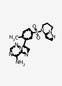 Cc1ccc(S(=O)(=O)N2CCCn3nccc32)cc1-c1cnc2c(N)ncnn12